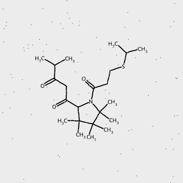 CC(C)SCCC(=O)N1C(C(=O)CC(=O)C(C)C)C(C)(C)C(C)(C)C1(C)C